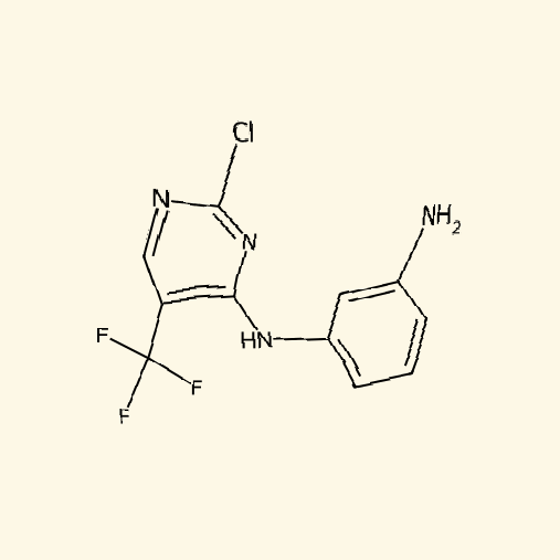 Nc1cccc(Nc2nc(Cl)ncc2C(F)(F)F)c1